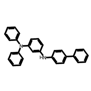 c1ccc(-c2ccc(Nc3cccc(N(c4ccccc4)c4ccccc4)c3)cc2)cc1